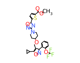 COC(=O)c1ccc(-c2nc(N3CCC(OCc4c(-c5ccccc5OC(F)(F)F)noc4C4CC4)CC3)no2)s1